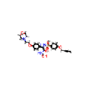 CC#CCOc1ccc(S(=O)(=O)NC(C(=O)NO)c2ccc(OCCN3CCOCC3)cc2)cc1